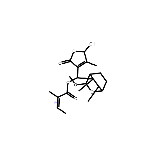 C/C=C(/C)C(=O)OC(C1=C(C)C(O)OC1=O)C1(C)C(C)C2CCC1C(OC)O2